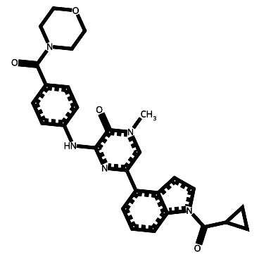 Cn1cc(-c2cccc3c2ccn3C(=O)C2CC2)nc(Nc2ccc(C(=O)N3CCOCC3)cc2)c1=O